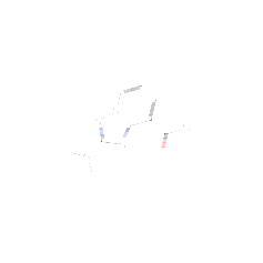 CCN(CC)c1nc2c(C(N)=O)c[c]cn2n1